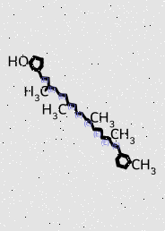 CC(/C=C/C=C(C)/C=C/c1cccc(C)c1)=C\C=C\C=C(C)\C=C\C=C(C)\C=C\c1cccc(O)c1